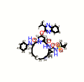 CC(C)c1nc2ccccc2nc1O[C@@H]1C[C@H]2C(=O)N[C@]3(C(=O)NS(=O)(=O)C4(C)CC4)C[C@H]3/C=C\CCCCC[C@H](Nc3ccccc3)C(=O)N2C1